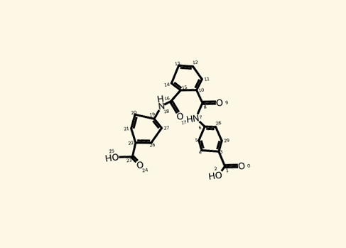 O=C(O)c1ccc(NC(=O)c2ccccc2C(=O)Nc2ccc(C(=O)O)cc2)cc1